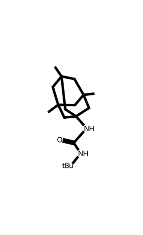 CC12CC3(C)CC(C)(C1)CC(NC(=O)NC(C)(C)C)(C2)C3